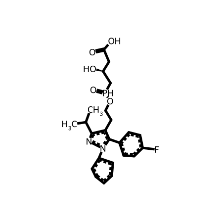 CC(C)c1nn(-c2ccccc2)c(-c2ccc(F)cc2)c1CCO[PH](=O)C[C@@H](O)CC(=O)O